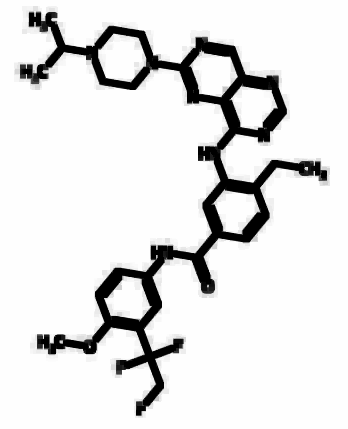 CCc1ccc(C(=O)Nc2ccc(OC)c(C(F)(F)CF)c2)cc1Nc1ncnc2cnc(N3CCN(C(C)C)CC3)nc12